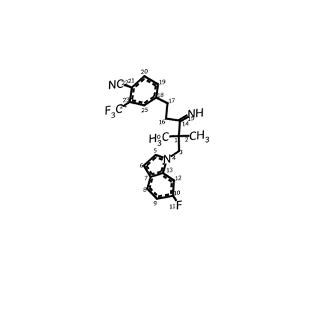 CC(C)(Cn1ccc2ccc(F)cc21)C(=N)CCc1ccc(C#N)c(C(F)(F)F)c1